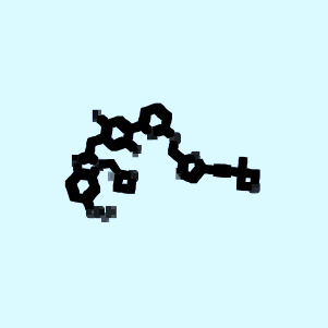 CC1(C#Cc2cnc(COc3cccc(-c4cc(F)c(Cc5nc6ccc(C(=O)O)cc6n5C[C@@H]5CCO5)cc4F)n3)s2)COC1